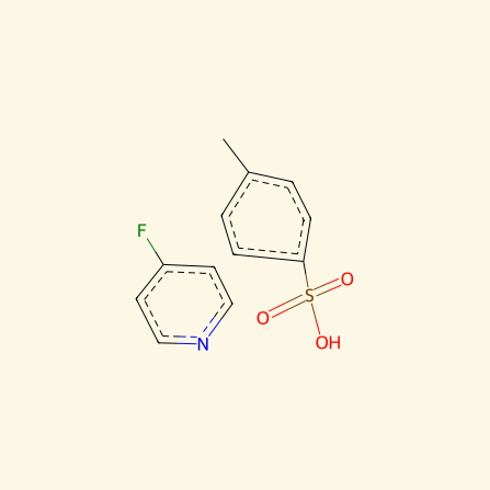 Cc1ccc(S(=O)(=O)O)cc1.Fc1ccncc1